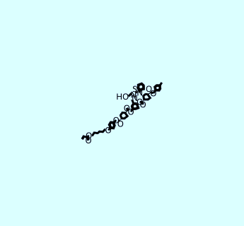 C=CC(=O)OCCCCCCOc1ccc(OC(=O)[C@H]2CC[C@H](C(=O)Oc3ccc(OC(=O)[C@H]4CC[C@H](C(=O)Oc5ccc(C)cc5)CC4)c(/C=N/N(CCO)c4nc5ccccc5s4)c3)CC2)cc1